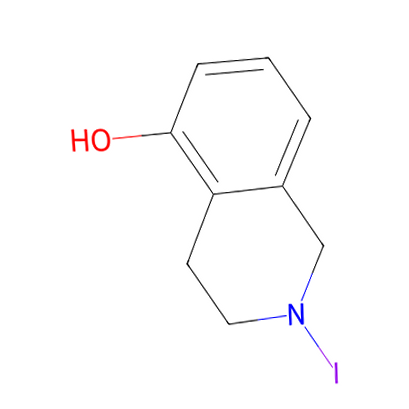 Oc1cccc2c1CCN(I)C2